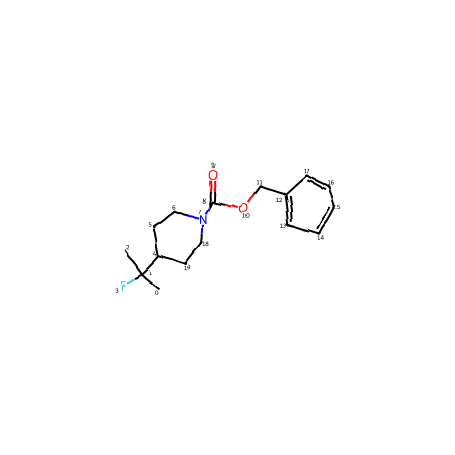 CC(C)(F)C1CCN(C(=O)OCc2ccccc2)CC1